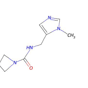 Cn1cncc1CNC(=O)N1CCC1